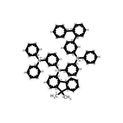 CC1(C)c2ccccc2-c2c(N(c3cccc(N(c4ccccc4)c4ccccc4)c3)c3cccc(N(c4ccccc4)c4cccc(-c5ccccc5-c5ccccc5)c4)c3)cccc21